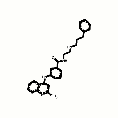 Cc1cc(Nc2cccc(C(=O)NCCNCCCc3ccccc3)c2)c2ccccc2n1